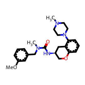 COc1cccc(CN(C)C(=O)N[C@@H]2COc3cccc(N4CCN(C)CC4)c3C2)c1